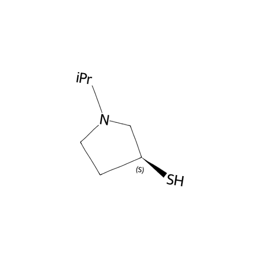 CC(C)N1CC[C@H](S)C1